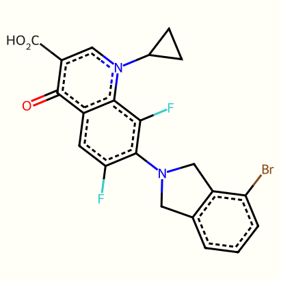 O=C(O)c1cn(C2CC2)c2c(F)c(N3Cc4cccc(Br)c4C3)c(F)cc2c1=O